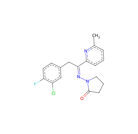 Cc1cccc(C(Cc2ccc(F)c(Cl)c2)=NN2CCCC2=O)n1